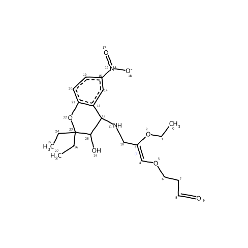 CCO/C(=C\OCCC=O)CNC1c2cc([N+](=O)[O-])ccc2OC(CC)(CC)C1O